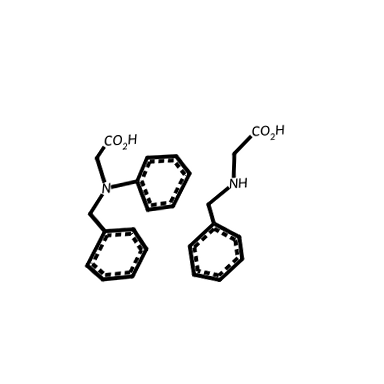 O=C(O)CN(Cc1ccccc1)c1ccccc1.O=C(O)CNCc1ccccc1